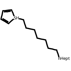 CCCCCCCCCCCCCC[SH]1C=CC=C1